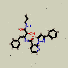 C=CCNC(=O)C(O)C(Cc1ccccc1)NC(=O)c1cccnc1-n1ccc(-c2ccccc2)n1